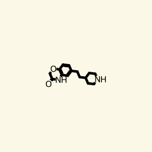 O=C1COc2ccc(CCC3CCNCC3)cc2N1